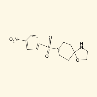 O=[N+]([O-])c1ccc(S(=O)(=O)N2CCC3(CC2)NCCO3)cc1